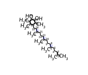 CC(C)=CCC/C(C)=C/CC/C(C)=C/CC/C(C)=C/Cc1c(C)c(C)c(O)c(O)c1C